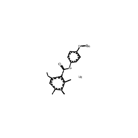 CCC(C)Oc1ccc(PC(=O)c2c(C)cc(C)c(C)c2C)cc1.[LiH]